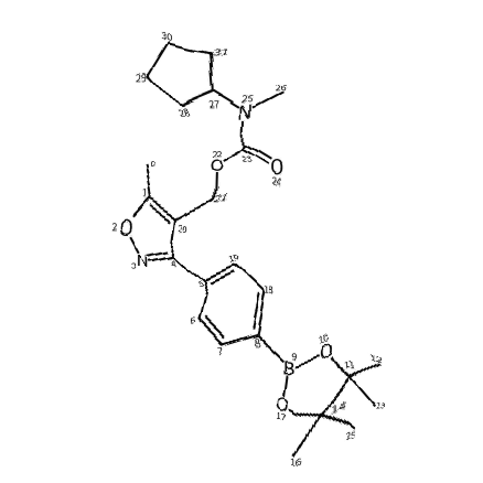 Cc1onc(-c2ccc(B3OC(C)(C)C(C)(C)O3)cc2)c1COC(=O)N(C)C1CCCC1